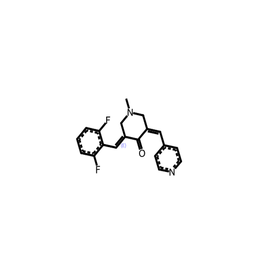 CN1CC(=Cc2ccncc2)C(=O)/C(=C/c2c(F)cccc2F)C1